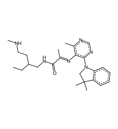 CCC(CCNC)CNC(=O)/C(C)=N/c1c(C)ncnc1N1CC(C)(C)c2ccccc21